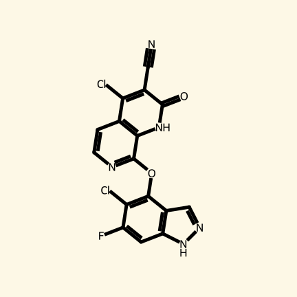 N#Cc1c(Cl)c2ccnc(Oc3c(Cl)c(F)cc4[nH]ncc34)c2[nH]c1=O